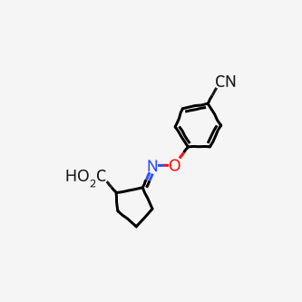 N#Cc1ccc(ON=C2CCCC2C(=O)O)cc1